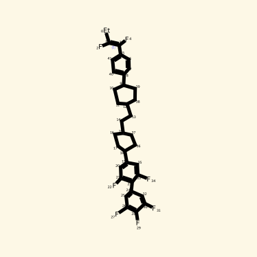 CC/C(F)=C(\F)c1ccc(C2CCC(CCC3CCC(c4cc(F)c(-c5cc(F)c(F)c(F)c5)c(F)c4)CC3)CC2)cc1